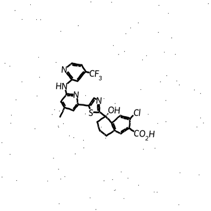 Cc1cc(Nc2cc(C(F)(F)F)ccn2)nc(-c2cnc([C@]3(O)CCCc4cc(C(=O)O)c(Cl)cc43)s2)c1